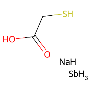 O=C(O)CS.[NaH].[SbH3]